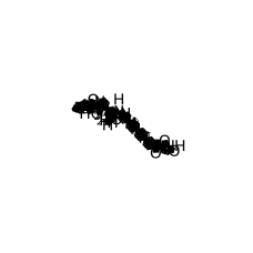 [2H]C([2H])([2H])n1cc(-c2ccnc(N3CCn4c(cc5c4CC(C)(C)C5)C3=O)c2CO)cc(Nc2ccc(N3CCN([C@@H]4CCN(c5ccc6c(c5)CN(C5CCC(=O)NC5=O)C6=O)[C@@H](C)C4)C[C@@H]3C)cn2)c1=O